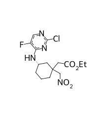 CCOC(=O)CC1(C[N+](=O)[O-])CCC[C@H](Nc2nc(Cl)ncc2F)C1